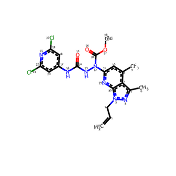 C=CCn1nc(C)c2c(C(F)(F)F)cc(N(NC(=O)Nc3cc(Cl)nc(Cl)c3)C(=O)OC(C)(C)C)nc21